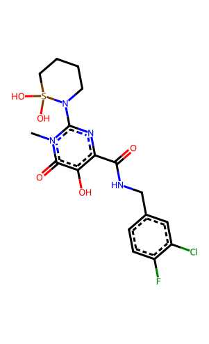 Cn1c(N2CCCCS2(O)O)nc(C(=O)NCc2ccc(F)c(Cl)c2)c(O)c1=O